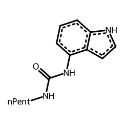 CCCCCNC(=O)Nc1cccc2[nH]ccc12